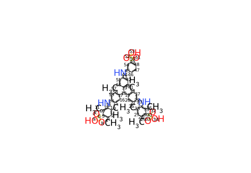 Cc1cc(C)c(S(=O)(=O)O)c(C)c1Nc1ccc(C(c2ccc(Nc3c(C)cc(C)c(S(=O)(=O)O)c3C)cc2)c2c(C)cc(Nc3cccc(S(=O)(=O)O)c3)cc2C)cc1